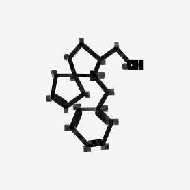 OCC1CCC2(CC=CC2)N1Cc1ccccc1